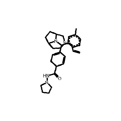 C=CCN1CCC2CCC(C1)N2C(C1=CCC(C(=O)NN2CCCC2)C=C1)c1cccc(C)c1